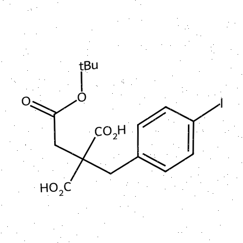 CC(C)(C)OC(=O)CC(Cc1ccc(I)cc1)(C(=O)O)C(=O)O